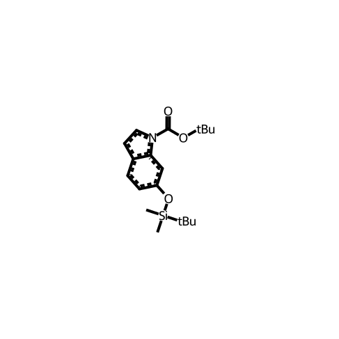 CC(C)(C)OC(=O)n1ccc2ccc(O[Si](C)(C)C(C)(C)C)cc21